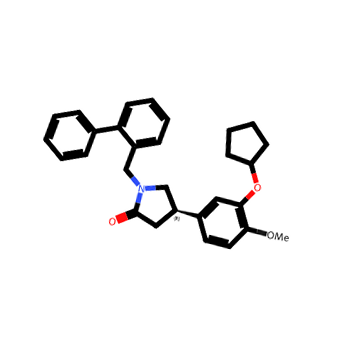 COc1ccc([C@H]2CC(=O)N(Cc3ccccc3-c3ccccc3)C2)cc1OC1CCCC1